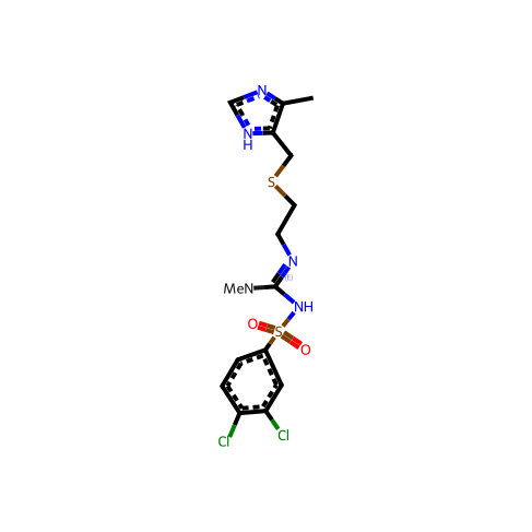 CN/C(=N\CCSCc1[nH]cnc1C)NS(=O)(=O)c1ccc(Cl)c(Cl)c1